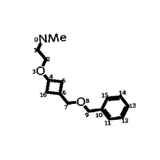 CNCCOC1CC(COCc2ccccc2)C1